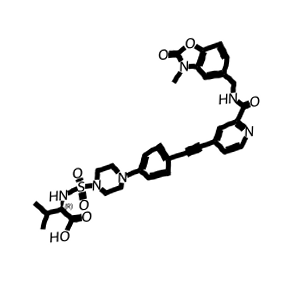 CC(C)[C@@H](NS(=O)(=O)N1CCN(c2ccc(C#Cc3ccnc(C(=O)NCc4ccc5oc(=O)n(C)c5c4)c3)cc2)CC1)C(=O)O